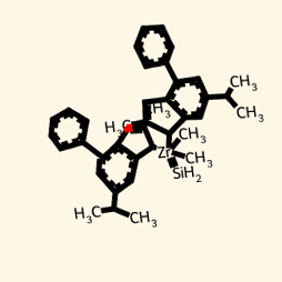 CC1=Cc2c(-c3ccccc3)cc(C(C)C)cc2[CH]1[Zr]([CH3])([CH3])(=[SiH2])[CH]1C(C)=Cc2c(-c3ccccc3)cc(C(C)C)cc21